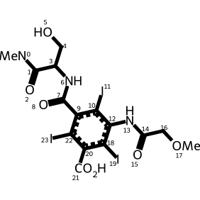 CNC(=O)C(CO)NC(=O)c1c(I)c(NC(=O)COC)c(I)c(C(=O)O)c1I